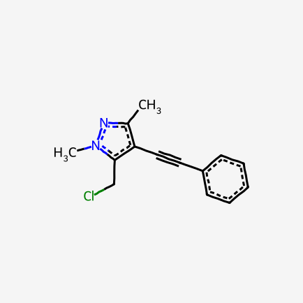 Cc1nn(C)c(CCl)c1C#Cc1ccccc1